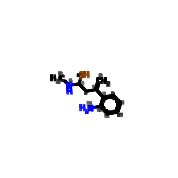 C=C(CC(S)NC)c1ccccc1N